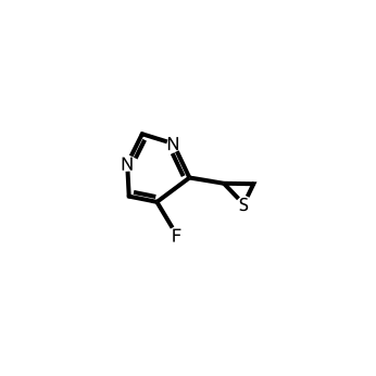 Fc1cncnc1C1CS1